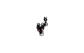 O=C(C=Cc1ccncc1)NCc1ccc(C(c2cc(F)ccc2F)S(=O)(=O)c2ccc(Cl)cc2)nc1